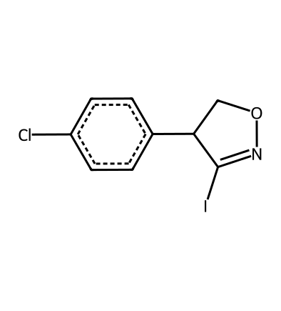 Clc1ccc(C2CON=C2I)cc1